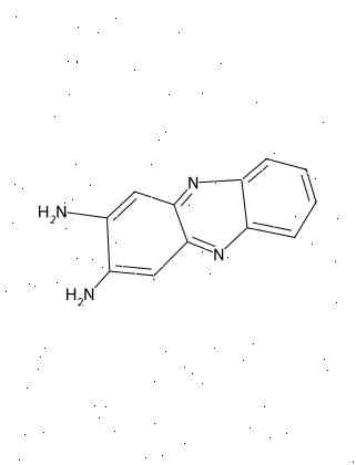 Nc1[c]c2nc3ccccc3nc2cc1N